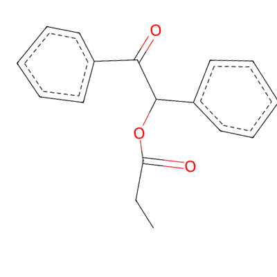 CCC(=O)OC(C(=O)c1ccccc1)c1ccccc1